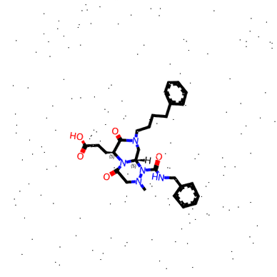 CN1CC(=O)N2[C@@H](CCC(=O)O)C(=O)N(CCCCc3ccccc3)C[C@@H]2N1C(=O)NCc1ccccc1